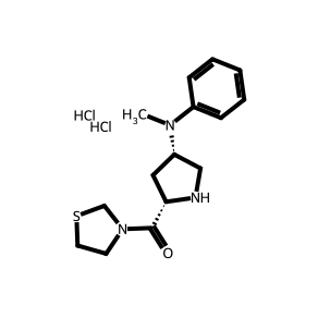 CN(c1ccccc1)[C@@H]1CN[C@H](C(=O)N2CCSC2)C1.Cl.Cl